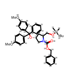 COc1ccc(C(O[C@@H]2CC(CO[Si](C)(C)C(C)(C)C)N(C(=O)OCc3ccccc3)C2)(c2ccccc2)c2ccc(OC)cc2)cc1